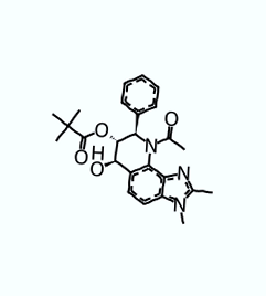 CC(=O)N1c2c(ccc3c2nc(C)n3C)[C@@H](O)[C@H](OC(=O)C(C)(C)C)[C@H]1c1ccccc1